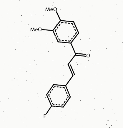 COc1ccc(C(=O)C=Cc2ccc(F)cc2)cc1OC